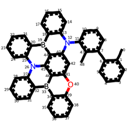 Cc1ccccc1-c1cccc(N2c3ccccc3B3c4ccccc4N4c5ccccc5B5c6ccccc6Oc6cc2c3c4c65)c1C